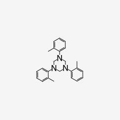 Cc1ccccc1N1CN(c2ccccc2C)CN(c2ccccc2C)C1